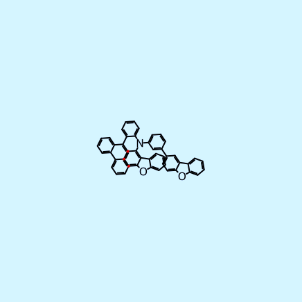 c1cc(-c2ccc3oc4ccccc4c3c2)cc(N(c2ccccc2-c2cc3ccccc3c3ccccc23)c2cccc3oc4ccccc4c23)c1